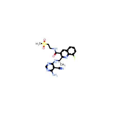 C[C@H](Nc1ncnc(N)c1C#N)c1nc2c(F)cccc2cc1C(=O)NCCS(C)(=O)=O